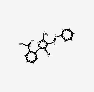 Nc1nn(-c2ccccc2C(=O)O)c(N)c1/N=N/c1ccccc1